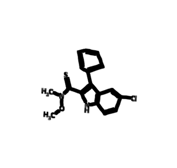 CON(C)C(=S)c1[nH]c2ccc(Cl)cc2c1-c1ccccc1